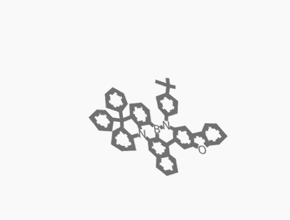 CC(C)(C)c1ccc(N2B3c4cccc5c4N(c4ccccc4C5(c4ccccc4)c4ccccc4)c4cc5ccccc5c(c43)-c3cc4oc5ccccc5c4cc32)cc1